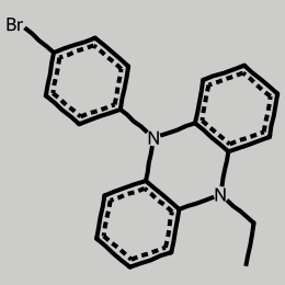 CCN1c2ccccc2N(c2ccc(Br)cc2)c2ccccc21